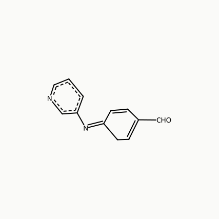 O=CC1=CCC(=Nc2cccnc2)C=C1